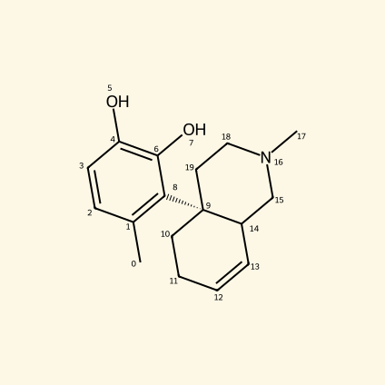 Cc1ccc(O)c(O)c1[C@@]12CCC=CC1CN(C)CC2